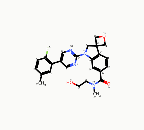 Cc1ccc(F)c(-c2cnc(N3CC4(COC4)c4ccc(C(=O)N(C)CCO)cc43)nc2)c1